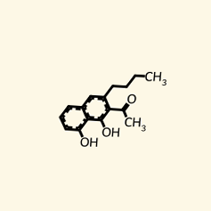 CCCCc1cc2cccc(O)c2c(O)c1C(C)=O